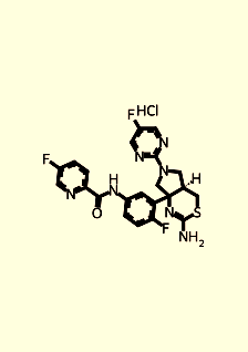 Cl.NC1=NC2(c3cc(NC(=O)c4ccc(F)cn4)ccc3F)CN(c3ncc(F)cn3)C[C@H]2CS1